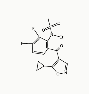 CCN(c1c(C(=O)c2cnoc2C2CC2)ccc(F)c1F)S(C)(=O)=O